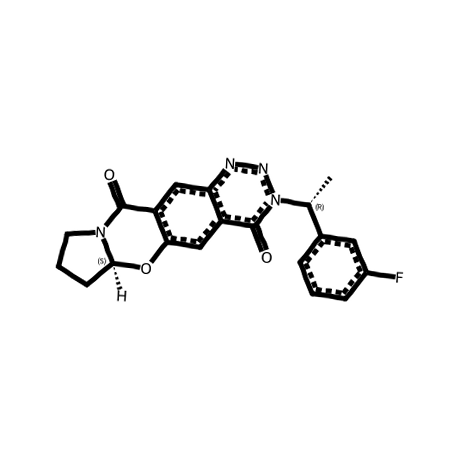 C[C@H](c1cccc(F)c1)n1nnc2cc3c(cc2c1=O)O[C@H]1CCCN1C3=O